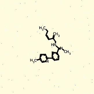 C=C(/C=C\CC)CN/C(=N/C)c1cccc(-c2ccc(C)cn2)c1